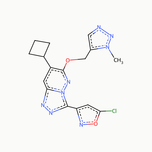 Cn1nncc1COc1nn2c(-c3cc(Cl)on3)nnc2cc1C1CCC1